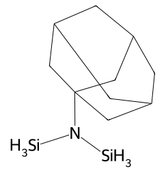 [SiH3]N([SiH3])C12CC3CC(CC(C3)C1)C2